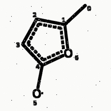 Cc1ccc([O])o1